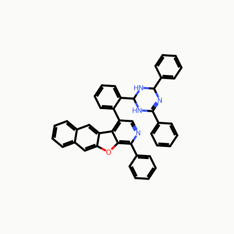 c1ccc(C2=NC(c3ccccc3)NC(c3ccccc3-c3cnc(-c4ccccc4)c4oc5cc6ccccc6cc5c34)N2)cc1